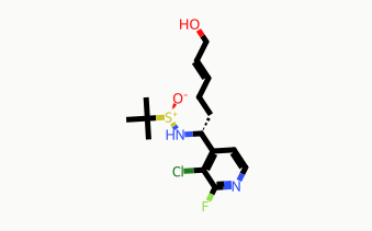 CC(C)(C)[S@+]([O-])N[C@H](CC/C=C/CO)c1ccnc(F)c1Cl